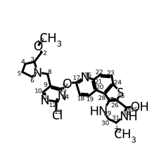 COCC1CCCN1Cc1cnc(Cl)nc1Oc1ccc2c(ccc3sc4c(c32)NC[C@@H](C)NC4O)n1